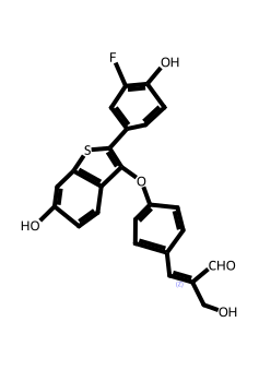 O=C/C(=C\c1ccc(Oc2c(-c3ccc(O)c(F)c3)sc3cc(O)ccc23)cc1)CO